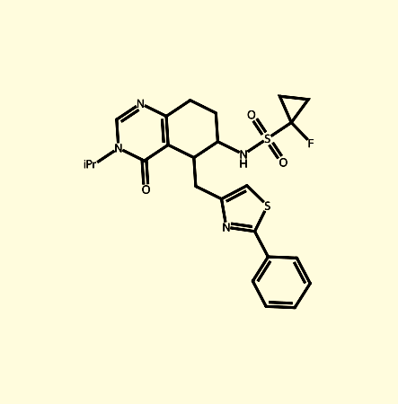 CC(C)n1cnc2c(c1=O)C(Cc1csc(-c3ccccc3)n1)C(NS(=O)(=O)C1(F)CC1)CC2